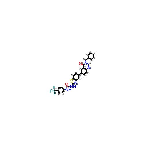 O=C(Nc1ccc(C(F)(F)F)cc1)Nc1nc2cc(-c3ccc4ncn(Cc5ccccc5)c(=O)c4c3)ccc2s1